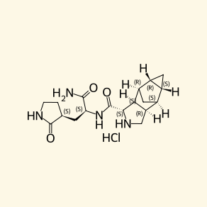 Cl.NC(=O)[C@H](C[C@@H]1CCNC1=O)NC(=O)[C@H]1NC[C@@H]2[C@H]3C[C@H]([C@@H]4C[C@@H]43)[C@@H]21